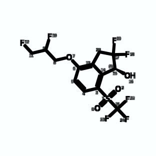 O=S(=O)(c1ccc(OCC(F)CF)c2c1[C@H](O)C(F)(F)C2)C(F)(F)F